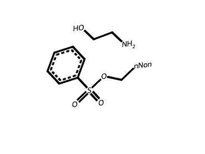 CCCCCCCCCCOS(=O)(=O)c1ccccc1.NCCO